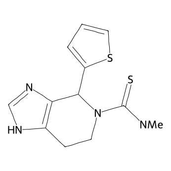 CNC(=S)N1CCc2[nH]cnc2C1c1cccs1